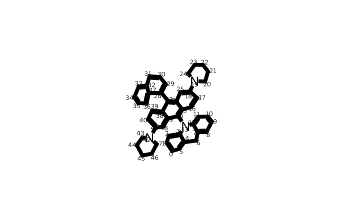 c1ccc2c(c1)Cc1ccccc1N2c1c2ccc(N3CCCCC3)cc2c(-c2cccc3ccccc23)c2ccc(N3CCCCC3)cc12